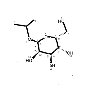 CC(C)O[C@H]1O[C@H](CO)[C@H](O)[C@@H](S)[C@H]1O